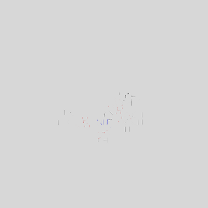 CC[C@H](C)OC(=O)OCC[C@@](N)(Cc1ccc(OC(=O)OC(C)(C)C)c(OC(=O)OC(C)(C)C)c1)C(=O)OC